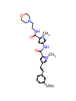 CSc1cccc(/C=C/c2cc(C(=O)Nc3cc(C(=O)NCCN4CCOCC4)n(C)c3)n(C)c2)c1